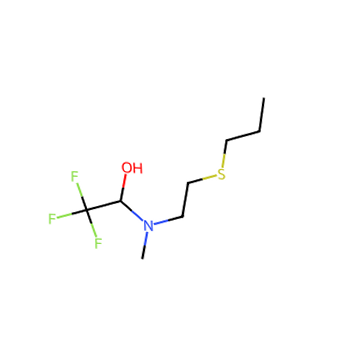 CCCSCCN(C)C(O)C(F)(F)F